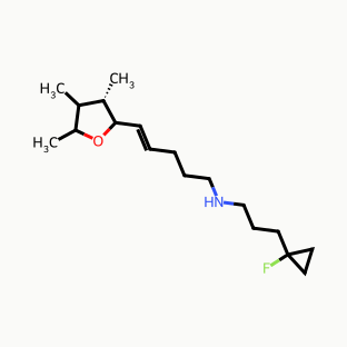 CC1OC(/C=C/CCCNCCCC2(F)CC2)[C@@H](C)C1C